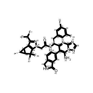 C[C@@H]1C2c3c(C(F)F)nn(CC(=O)N[C@@H](Cc4cc(F)cc(F)c4)c4nc5ncnn5c(N)c4-c4ccc5c(c4)C(=O)NC5)c3C(F)(F)C21